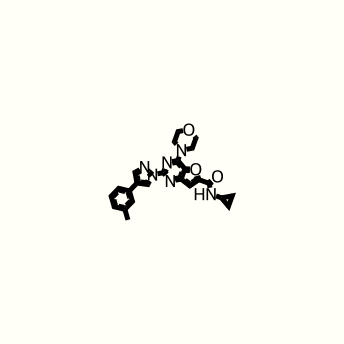 Cc1cccc(-c2cnn(-c3nc(N4CCOCC4)c4oc(C(=O)NC5CC5)cc4n3)c2)c1